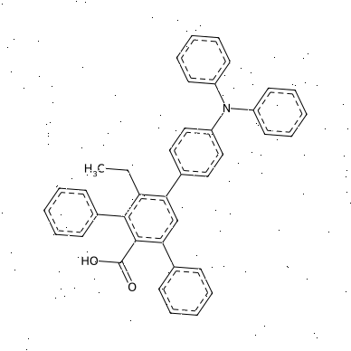 CCc1c(-c2ccc(N(c3ccccc3)c3ccccc3)cc2)cc(-c2ccccc2)c(C(=O)O)c1-c1ccccc1